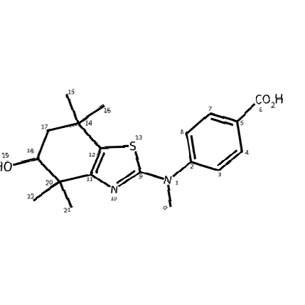 CN(c1ccc(C(=O)O)cc1)c1nc2c(s1)C(C)(C)CC(O)C2(C)C